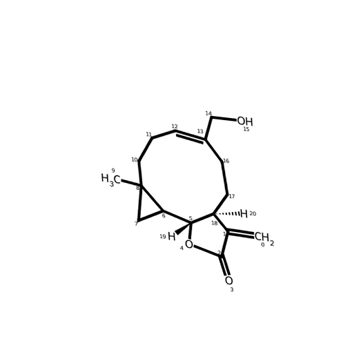 C=C1C(=O)O[C@@H]2C3CC3(C)CC/C=C(/CO)CC[C@@H]12